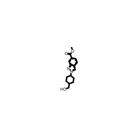 COC(=O)c1ccc2cn(C3CCC(CO)CC3)nc2c1